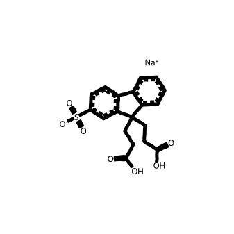 O=C(O)CCC1(CCC(=O)O)c2ccccc2-c2ccc(S(=O)(=O)[O-])cc21.[Na+]